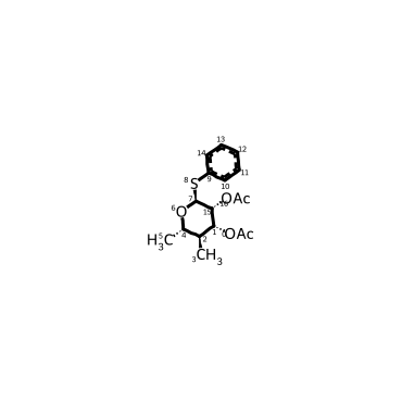 CC(=O)O[C@@H]1[C@@H](C)[C@H](C)O[C@@H](Sc2ccccc2)[C@@H]1OC(C)=O